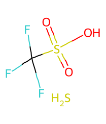 O=S(=O)(O)C(F)(F)F.S